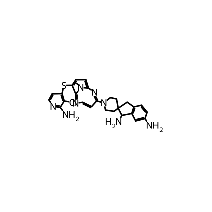 CN1C2=CC=C(Sc3ccnc(N)c3Cl)/C1=N/C=C/C(N1CCC3(CC1)Cc1ccc(N)cc1C3N)=N\2